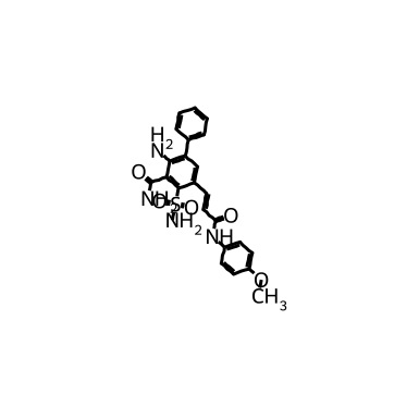 COc1ccc(NC(=O)C=Cc2cc(-c3ccccc3)c(N)c(C(N)=O)c2S(N)(=O)=O)cc1